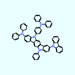 C1=CCC(N(c2ccccc2)c2ccc3c4cc5c(cc4n(-c4ccc(N(c6ccccc6)c6ccccc6)cc4)c3c2)c2cc(-n3c4ccccc4c4ccccc43)ccc2n5-c2ccccc2)C=C1